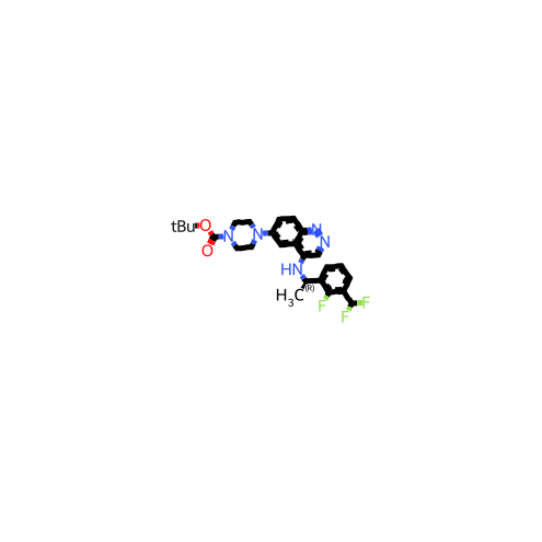 C[C@@H](Nc1cnnc2ccc(N3CCN(C(=O)OC(C)(C)C)CC3)cc12)c1cccc(C(F)F)c1F